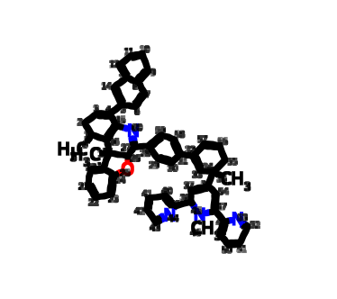 CC1CC=C(c2ccc3ccccc3c2)C2=C1C1(C)c3ccccc3OC1C(c1ccc(C3=CC(C)(C4=CC(c5ccccn5)N(C)C(c5ccccn5)=C4)CC=C3)cc1)=N2